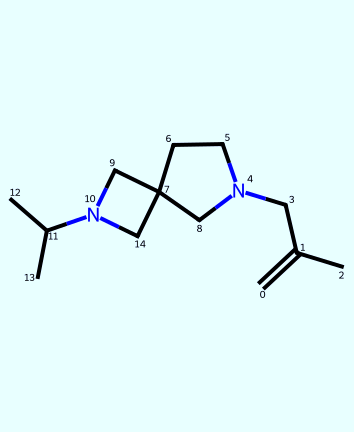 C=C(C)CN1CCC2(C1)CN(C(C)C)C2